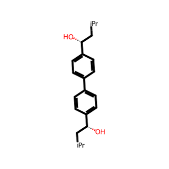 CC(C)C[C@@H](O)c1ccc(-c2ccc([C@H](O)CC(C)C)cc2)cc1